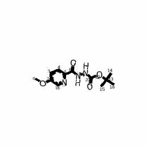 COc1ccc(C(=O)NNC(=O)OC(C)(C)C)nc1